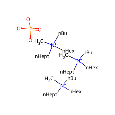 CCCCCCC[N+](C)(CCCC)CCCCCC.CCCCCCC[N+](C)(CCCC)CCCCCC.CCCCCCC[N+](C)(CCCC)CCCCCC.O=P([O-])([O-])[O-]